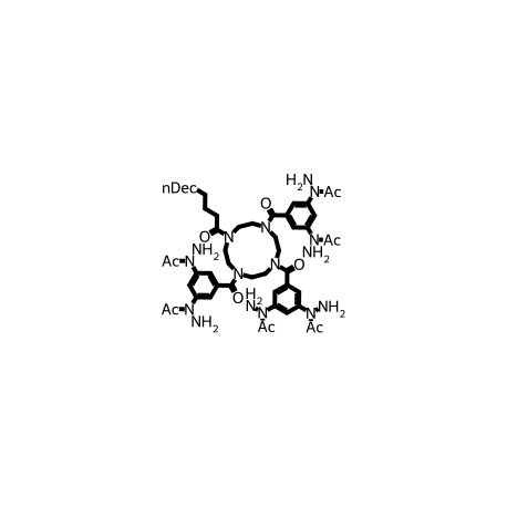 CCCCCCCCCCCCCC(=O)N1CCN(C(=O)c2cc(N(N)C(C)=O)cc(N(N)C(C)=O)c2)CCN(C(=O)c2cc(N(N)C(C)=O)cc(N(N)C(C)=O)c2)CCN(C(=O)c2cc(N(N)C(C)=O)cc(N(N)C(C)=O)c2)CC1